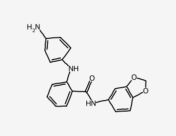 Nc1ccc(Nc2ccccc2C(=O)Nc2ccc3c(c2)OCO3)cc1